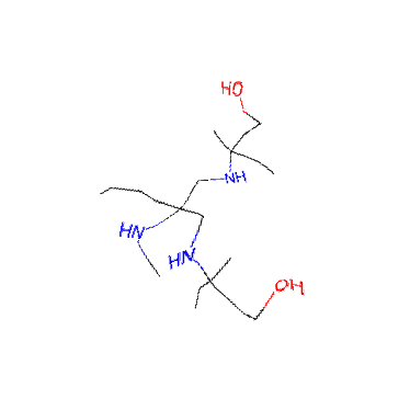 CCC(CNC(C)(C)CO)(CNC(C)(C)CO)NC